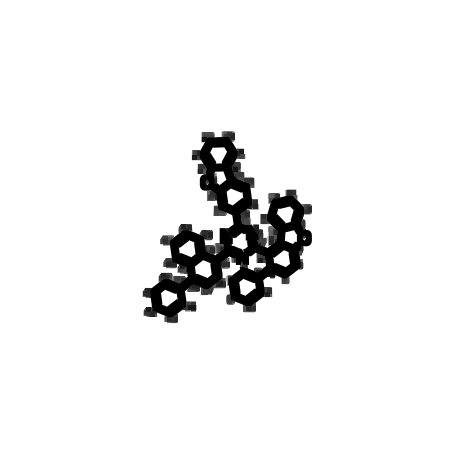 c1ccc(-c2ccc3oc4ccccc4c3c2-c2nc(-c3ccc4c(c3)oc3ccccc34)nc(-c3ccc(-c4ccccc4)c4ccccc34)n2)cc1